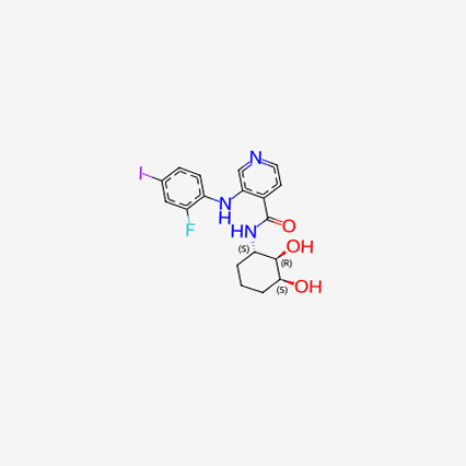 O=C(N[C@H]1CCC[C@H](O)[C@@H]1O)c1ccncc1Nc1ccc(I)cc1F